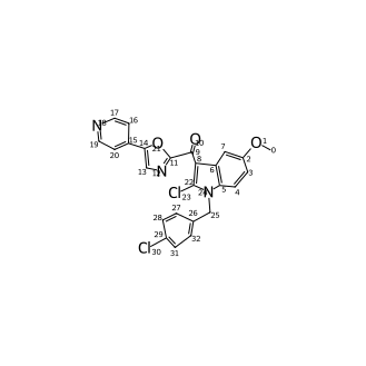 COc1ccc2c(c1)c(C(=O)c1ncc(-c3ccncc3)o1)c(Cl)n2Cc1ccc(Cl)cc1